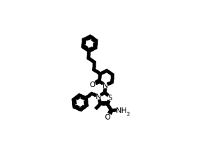 CC1=C(C(N)=O)SC(N2CCCC(CCCc3ccccc3)C2=O)N1Cc1ccccc1